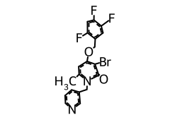 Cc1cc(OCc2cc(F)c(F)cc2F)c(Br)c(=O)n1Cc1cccnc1